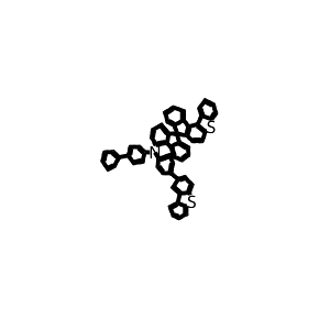 c1ccc(-c2ccc(N(c3ccc(-c4ccc5sc6ccccc6c5c4)cc3)c3cccc4c3-c3ccccc3C43c4ccccc4-c4c3ccc3sc5ccccc5c43)cc2)cc1